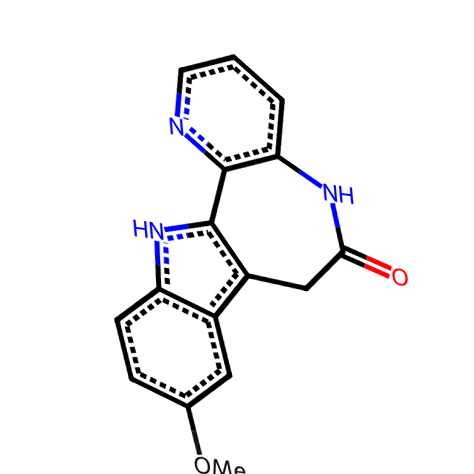 COc1ccc2[nH]c3c(c2c1)CC(=O)Nc1cccnc1-3